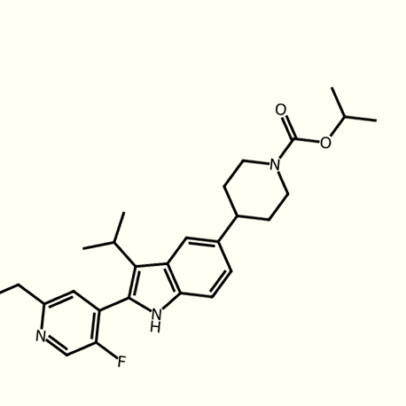 CCc1cc(-c2[nH]c3ccc(C4CCN(C(=O)OC(C)C)CC4)cc3c2C(C)C)c(F)cn1